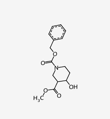 COC(=O)C1CN(C(=O)OCc2ccccc2)CCC1O